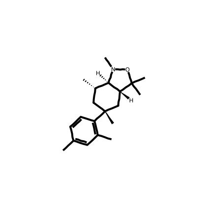 Cc1ccc([C@@]2(C)C[C@@H]3[C@@H]([C@@H](C)C2)N(C)OC3(C)C)c(C)c1